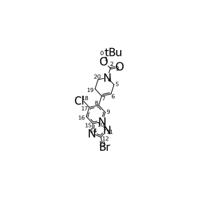 CC(C)(C)OC(=O)N1CC=C(c2cn3nc(Br)nc3cc2Cl)CC1